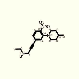 CCN(C)CC#Cc1ccc([N+](=O)[O-])c(N2CCC(C)CC2)c1